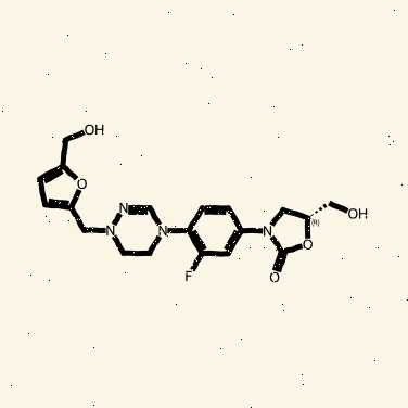 O=C1O[C@@H](CO)CN1c1ccc(N2C=NN(Cc3ccc(CO)o3)CC2)c(F)c1